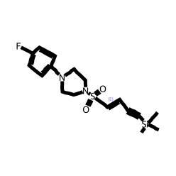 C[Si](C)(C)C#C/C=C/S(=O)(=O)N1CCN(c2ccc(F)cc2)CC1